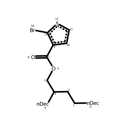 CCCCCCCCCCCCC(CCCCCCCCCC)COC(=O)c1ccsc1Br